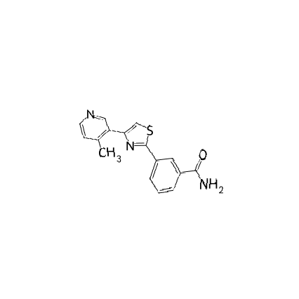 Cc1ccncc1-c1csc(-c2cccc(C(N)=O)c2)n1